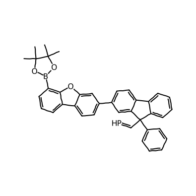 CC1(C)OB(c2cccc3c2oc2cc(-c4ccc5c(c4)C(C=P)(c4ccccc4)c4ccccc4-5)ccc23)OC1(C)C